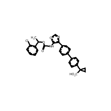 CC(OC(=O)Nc1ocnc1-c1ccc(-c2ccc(C3(C(=O)O)CC3)cc2)cc1)c1ccccc1Cl